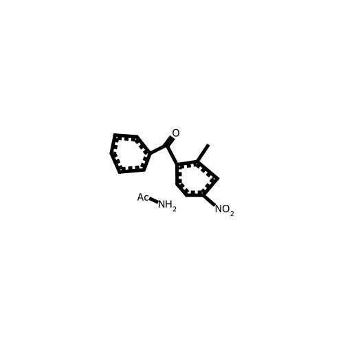 CC(N)=O.Cc1cc([N+](=O)[O-])ccc1C(=O)c1ccccc1